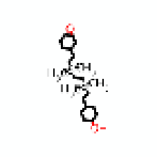 C[Si](C)(CCC1CCC(O)CC1)CC[Si](C)(C)CCC1CCC2OC2C1